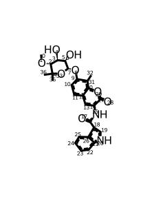 CO[C@@H]1[C@@H](O)[C@H](O)[C@H](Oc2ccc3cc(NC(=O)c4c[nH]c5ccccc45)c(=O)oc3c2C)OC1(C)C